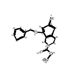 CC(=O)c1cc2c(c(OCc3ccccc3)c1)CN(C(=O)OC(C)(C)C)CC2